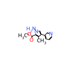 COC(=O)c1c(C)c(-c2cccnc2)cn1N